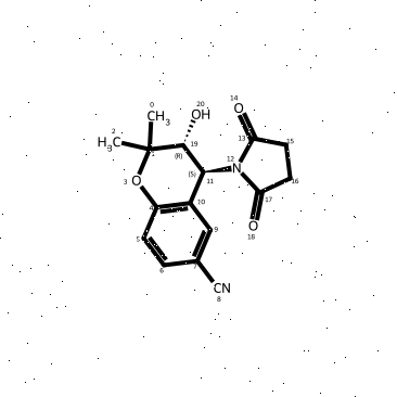 CC1(C)Oc2ccc(C#N)cc2[C@H](N2C(=O)CCC2=O)[C@H]1O